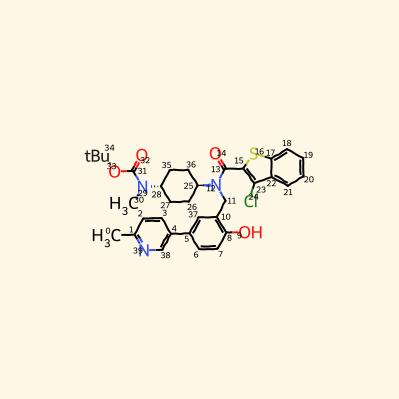 Cc1ccc(-c2ccc(O)c(CN(C(=O)c3sc4ccccc4c3Cl)[C@H]3CC[C@H](N(C)C(=O)OC(C)(C)C)CC3)c2)cn1